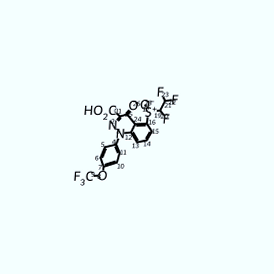 O=C(O)c1nn(-c2ccc(OC(F)(F)F)cc2)c2cccc([S+]([O-])C(F)C(F)F)c2c1=O